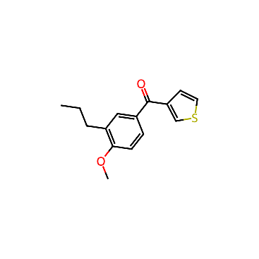 CCCc1cc(C(=O)c2ccsc2)ccc1OC